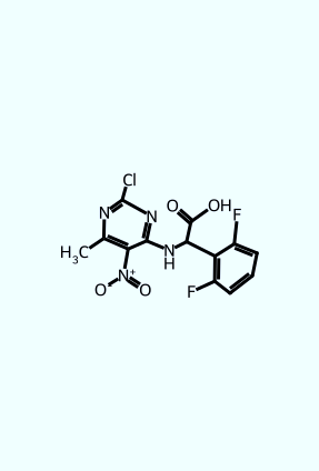 Cc1nc(Cl)nc(NC(C(=O)O)c2c(F)cccc2F)c1[N+](=O)[O-]